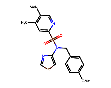 CNc1cnc(S(=O)(=O)N(Cc2ccc(OC)cc2)c2cscn2)cc1C